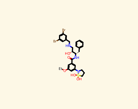 CCOc1cc(C(=O)N[C@@H](Cc2ccccc2)[C@H](O)CNCc2cc(Br)cc(Br)c2)cc(N2CCCS2(O)O)c1